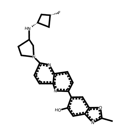 Cc1nc2cc(O)c(-c3ccc4nc(N5CCC(N[C@H]6C[C@@H](F)C6)C5)ccc4n3)cc2o1